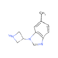 Cc1ccc2ncn(C3CNC3)c2c1